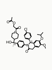 COc1cc2c(cc1OC(C)C)[C@H](c1ccc(Cl)cc1)N(c1ccc([C@@](C)(O)C3CCN(C(=O)COC(C)=O)CC3)cc1)C(=O)C2